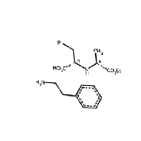 CCOC(=O)[C@@H](C)N[C@@H](CC(C)C)C(=O)O.NCCc1ccccc1